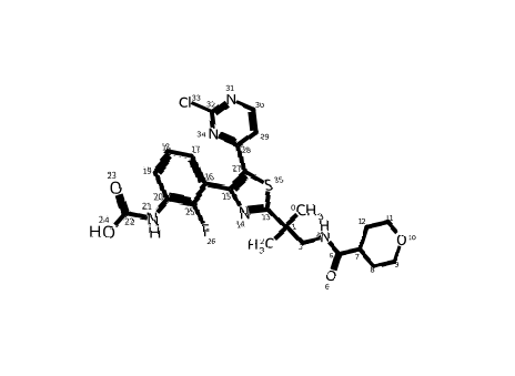 CC(C)(CNC(=O)C1CCOCC1)c1nc(-c2cccc(NC(=O)O)c2F)c(-c2ccnc(Cl)n2)s1